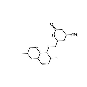 CC1C[CH]C2C(C=CC(C)C2CCC2CC(O)CC(=O)O2)C1